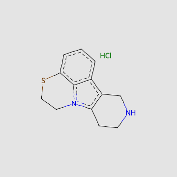 Cl.c1cc2c3c(c1)c1c(n3CCS2)CCNC1